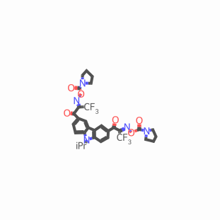 CC(C)n1c2ccc(C(=O)/C(=N/OC(=O)N3CCCC3)C(F)(F)F)cc2c2cc(C(=O)/C(=N/OC(=O)N3CCCC3)C(F)(F)F)ccc21